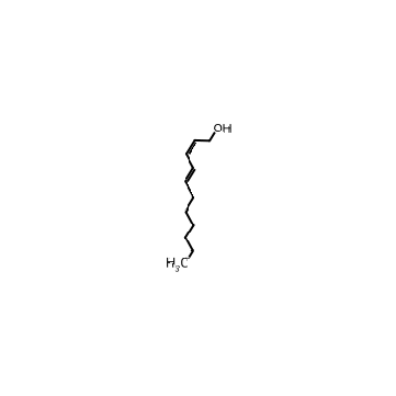 CCCCCC/C=C/C=C\CO